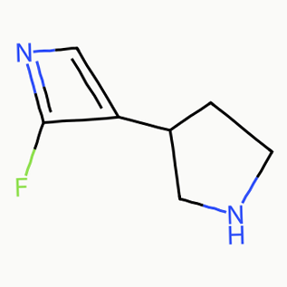 FC1=NC=C1C1CCNC1